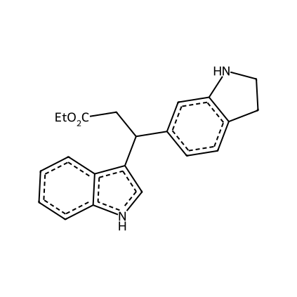 CCOC(=O)CC(c1ccc2c(c1)NCC2)c1c[nH]c2ccccc12